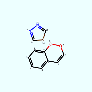 C1=Cc2ccccc2OO1.c1nncs1